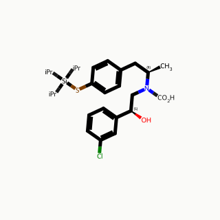 CC(C)[Si](Sc1ccc(C[C@@H](C)N(C[C@@H](O)c2cccc(Cl)c2)C(=O)O)cc1)(C(C)C)C(C)C